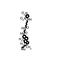 CCC(C)CCCC(C)[C@H]1CCC2C3CC=C4C[C@@H](NC(=O)CCNC(=O)CCCCCNc5ccc([N+](=O)[O-])cc5[N+](=O)[O-])CC[C@]4(C)C3CC[C@@]21C